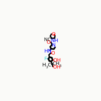 CC(C)(CO)c1cc(F)c(CC(=O)Nc2ccnc(C(=O)NC3(C#N)CCOCC3)c2)cc1O